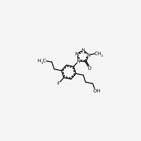 CCCc1cc(-n2nnn(C)c2=O)c(CCCO)cc1F